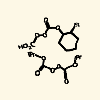 CC(C)OC(=O)OOC(=O)OC(C)C.CCC1CCCCC1OC(=O)OOC(=O)O